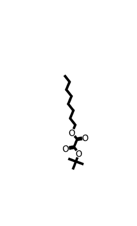 CCCCCCCCOC(=O)C(=O)OC(C)(C)C